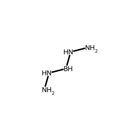 NNBNN